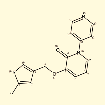 Cc1cc(COc2cccn(-c3ccncc3)c2=O)cs1